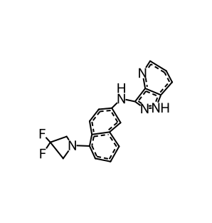 FC1(F)CN(c2cccc3cc(Nc4n[nH]c5cccnc45)ccc23)C1